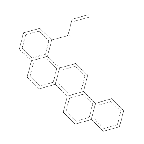 C=C[CH]c1cccc2ccc3c4ccc5ccccc5c4ccc3c12